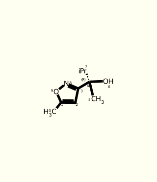 Cc1cc([C@](C)(O)C(C)C)no1